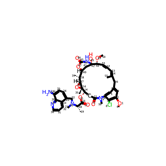 COc1cc2cc(c1Cl)N(C)C(=O)C[C@H](OC(=O)[C@H](C)N(C)Cc1ccc(N)c3ncccc13)[C@]1(C)O[C@H]1[C@H](C)[C@@H]1C[C@@](O)(NC(=O)O1)[C@H](OC)/C=C/C=C(\C)C2